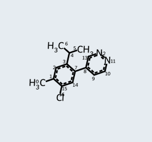 Cc1cc(C(C)C)c(-c2ccnnc2)cc1Cl